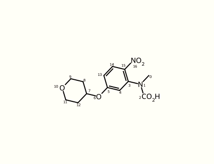 CN(C(=O)O)c1cc(OC2CCOCC2)ccc1[N+](=O)[O-]